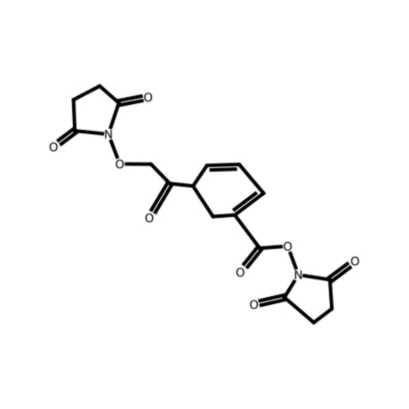 O=C(ON1C(=O)CCC1=O)C1=CC=CC(C(=O)CON2C(=O)CCC2=O)C1